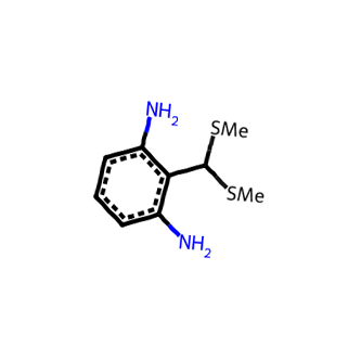 CSC(SC)c1c(N)cccc1N